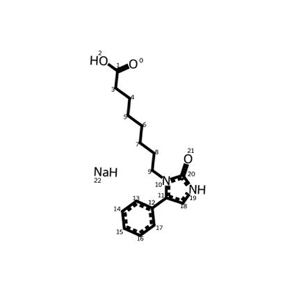 O=C(O)CCCCCCCn1c(-c2ccccc2)c[nH]c1=O.[NaH]